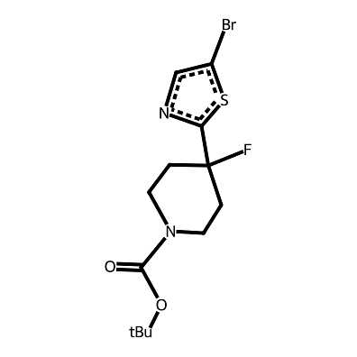 CC(C)(C)OC(=O)N1CCC(F)(c2ncc(Br)s2)CC1